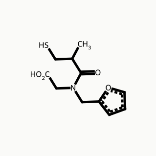 CC(CS)C(=O)N(CC(=O)O)Cc1ccco1